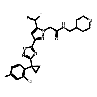 O=C(Cn1nc(-c2nc(C3(c4ccc(F)cc4Cl)CC3)no2)cc1C(F)F)NCC1CCNCC1